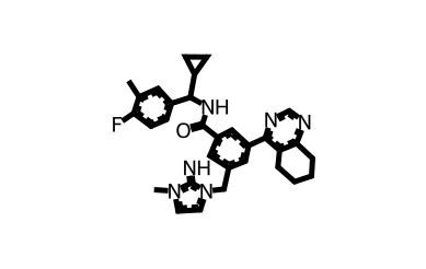 Cc1cc(C(NC(=O)c2cc(Cn3ccn(C)c3=N)cc(-c3ncnc4c3CCCC4)c2)C2CC2)ccc1F